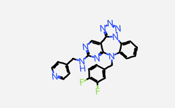 Fc1ccc(CN2c3ccccc3-n3nnnc3-c3cnc(NCc4ccncc4)nc32)cc1F